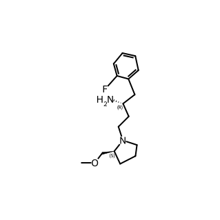 COC[C@@H]1CCCN1CC[C@H](N)Cc1ccccc1F